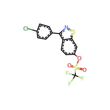 O=S(=O)(Oc1ccc2c(-c3ccc(Cl)cc3)nsc2c1)C(F)(F)F